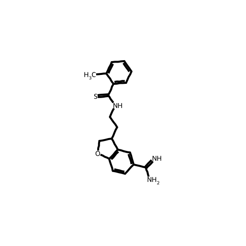 Cc1ccccc1C(=S)NCCC1COc2ccc(C(=N)N)cc21